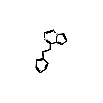 c1ccc(CCc2nccn3cccc23)cc1